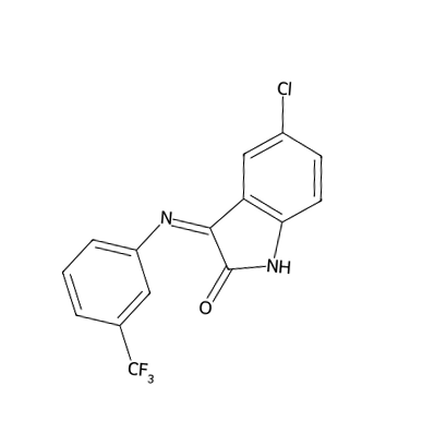 O=C1Nc2ccc(Cl)cc2/C1=N/c1cccc(C(F)(F)F)c1